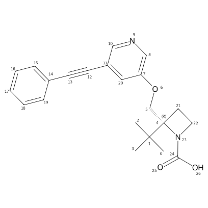 CC(C)(C)[C@@]1(COc2cncc(C#Cc3ccccc3)c2)CCN1C(=O)O